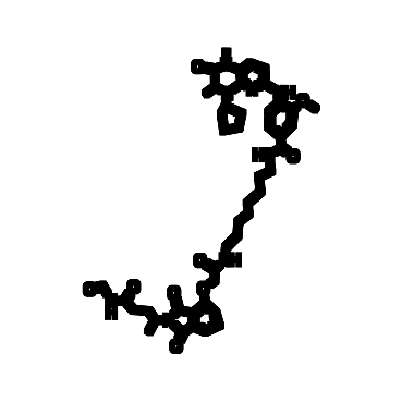 COc1cc(C(=O)NCCCCCCCCNC(=O)COc2cccc3c2C(=O)N(C(C)CCC(=O)NC=O)C3=O)ccc1Nc1ccc2c(n1)N(C1CCCC1)C(C)C(=O)N2C